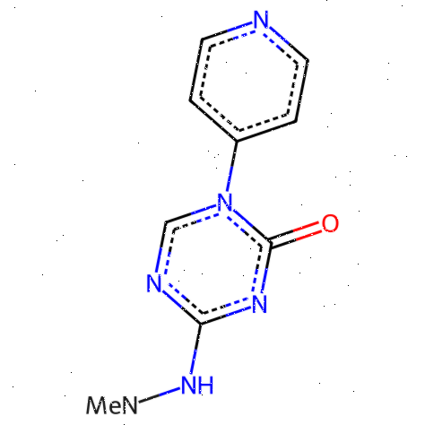 CNNc1ncn(-c2ccncc2)c(=O)n1